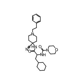 N#CC1(NC(=O)C(CC2CCCCC2)NC(=O)N2CCOCC2)CCN(CCc2ccccc2)CC1